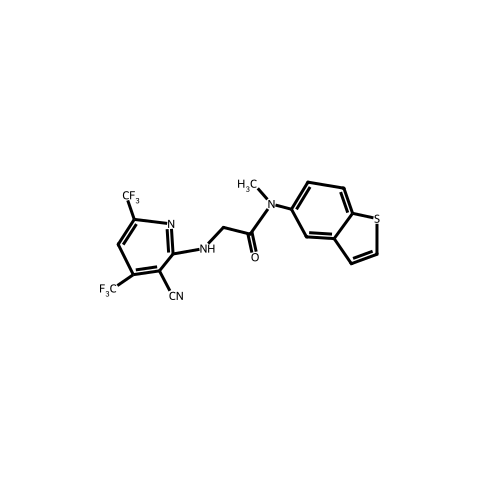 CN(C(=O)CNc1nc(C(F)(F)F)cc(C(F)(F)F)c1C#N)c1ccc2sccc2c1